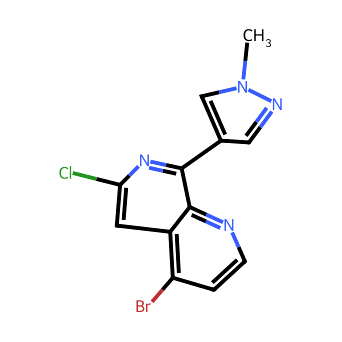 Cn1cc(-c2nc(Cl)cc3c(Br)ccnc23)cn1